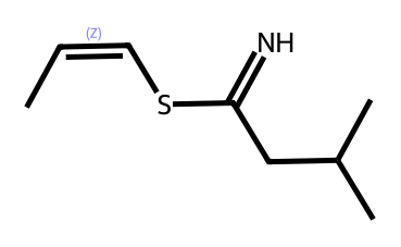 C/C=C\SC(=N)CC(C)C